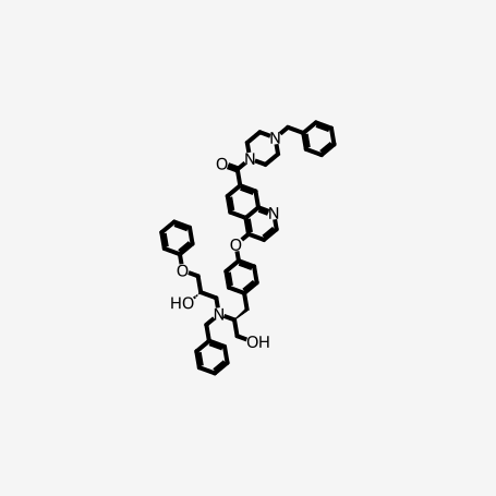 O=C(c1ccc2c(Oc3ccc(C[C@@H](CO)N(Cc4ccccc4)C[C@H](O)COc4ccccc4)cc3)ccnc2c1)N1CCN(Cc2ccccc2)CC1